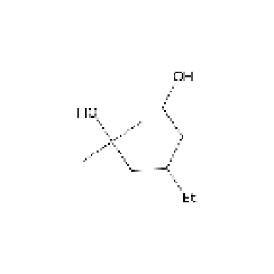 CCC(CCO)CC(C)(C)O